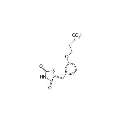 O=C(O)CCCOc1cccc(/C=C2\SC(=O)NC2=O)c1